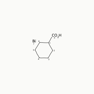 O=C(O)C1CCCCC1.[Bi]